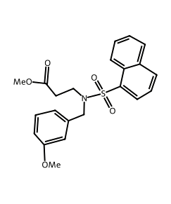 COC(=O)CCN(Cc1cccc(OC)c1)S(=O)(=O)c1cccc2ccccc12